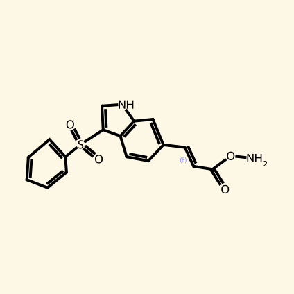 NOC(=O)/C=C/c1ccc2c(S(=O)(=O)c3ccccc3)c[nH]c2c1